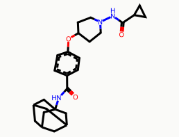 O=C(NC12CC3CC(CC(C3)C1)C2)c1ccc(OC2CCN(NC(=O)C3CC3)CC2)cc1